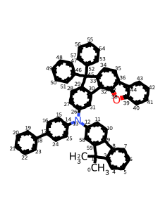 CC1(C)c2ccccc2-c2ccc(N(c3ccc(-c4ccccc4)cc3)c3ccc4c(c3)-c3c(ccc5c3oc3ccccc35)C4(c3ccccc3)c3ccccc3)cc21